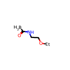 BC(=O)NCCOCC